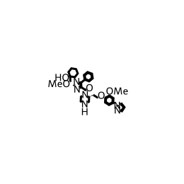 COC[C@]1(O)CCCC[C@H]1n1cnc(C(=O)N2CCNC[C@H]2CCOc2ccc(-n3cccn3)cc2OC)c1-c1ccccc1